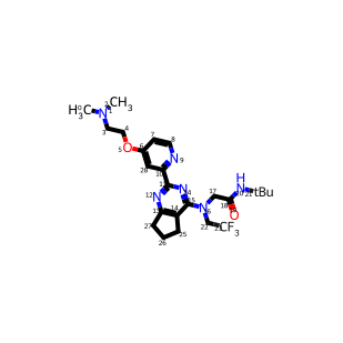 CN(C)CCOc1ccnc(-c2nc3c(c(N(CC(=O)NC(C)(C)C)CC(F)(F)F)n2)CCC3)c1